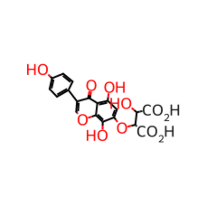 O=C(O)C(O)C(Oc1cc(O)c2c(=O)c(-c3ccc(O)cc3)coc2c1O)C(=O)O